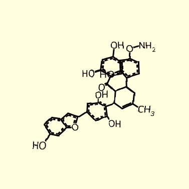 CC1=CC(c2c(O)cc(-c3cc4ccc(O)cc4o3)cc2O)C(C(=O)c2ccc(O)cc2O)C(c2ccc(ON)cc2O)C1